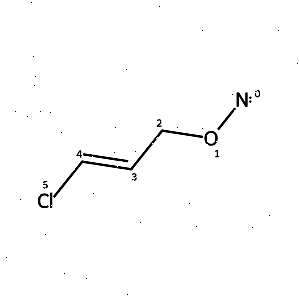 [N]OC/C=C/Cl